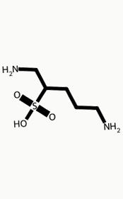 NCCCC(CN)S(=O)(=O)O